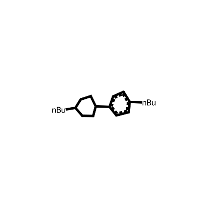 CCCCc1ccc(C2CCC(CCCC)CC2)cc1